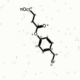 CCCCCCCCCCC(=O)Oc1ccc(CBr)cc1